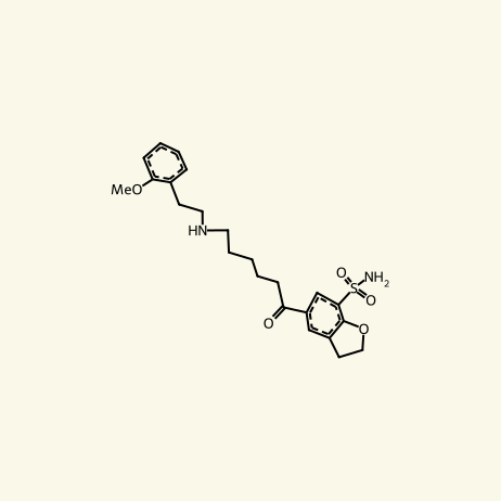 COc1ccccc1CCNCCCCCC(=O)c1cc2c(c(S(N)(=O)=O)c1)OCC2